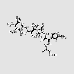 CC(CC(=O)O)O/N=C(\C(=O)NC1C(=O)N2C(C(=O)O)=C(CSC3=NC(N)=C(N)C(N)N3N)CS[C@@H]12)c1csc(N)n1